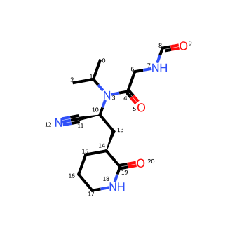 CC(C)N(C(=O)CNC=O)[C@H](C#N)C[C@@H]1CCCNC1=O